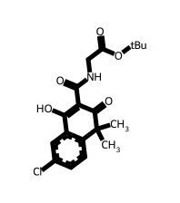 CC(C)(C)OC(=O)CNC(=O)C1=C(O)c2cc(Cl)ccc2C(C)(C)C1=O